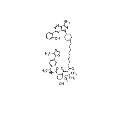 Cc1ncsc1-c1ccc([C@H](C)NC(=O)[C@@H]2C[C@@H](O)CN2C(=O)[C@H](C(=O)CCCCCCCCN2CCC(n3nc(N)c4nnc(-c5ccccc5O)cc43)CC2)C(C)(C)C)cc1